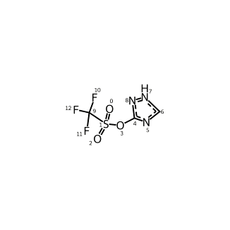 O=S(=O)(Oc1nc[nH]n1)C(F)(F)F